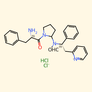 Cl.N[C@@H](Cc1ccccc1)C(=O)N1CCCC1N(C=O)[C@@H](CC1=CC=CC=[N+]1)c1ccccc1.[Cl-]